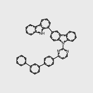 c1ccc(-c2cccc(-c3ccc(-c4ccnc(-n5c6ccccc6c6cc(-c7cccc8c7[nH]c7ccccc78)ccc65)n4)cc3)c2)cc1